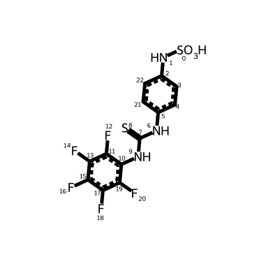 O=S(=O)(O)Nc1ccc(NC(=S)Nc2c(F)c(F)c(F)c(F)c2F)cc1